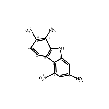 O=[N+]([O-])c1cc([N+](=O)[O-])c2c(c1)[nH]c1c([N+](=O)[O-])c([N+](=O)[O-])ccc12